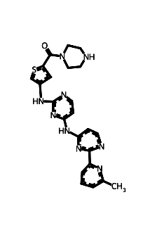 Cc1cccc(-c2nccc(Nc3ccnc(Nc4csc(C(=O)N5CCNCC5)c4)n3)n2)n1